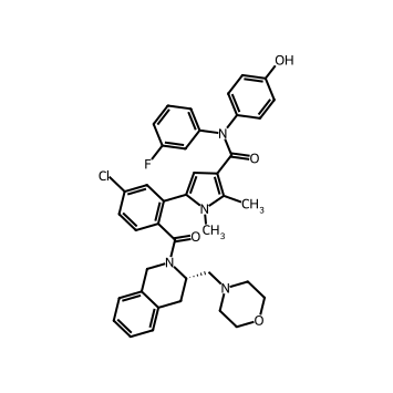 Cc1c(C(=O)N(c2ccc(O)cc2)c2cccc(F)c2)cc(-c2cc(Cl)ccc2C(=O)N2Cc3ccccc3C[C@H]2CN2CCOCC2)n1C